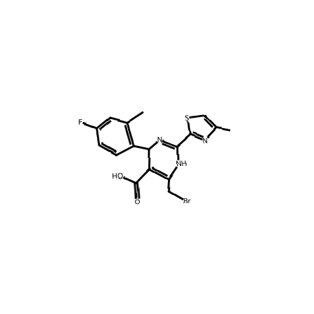 Cc1csc(C2=NC(c3ccc(F)cc3C)C(C(=O)O)=C(CBr)N2)n1